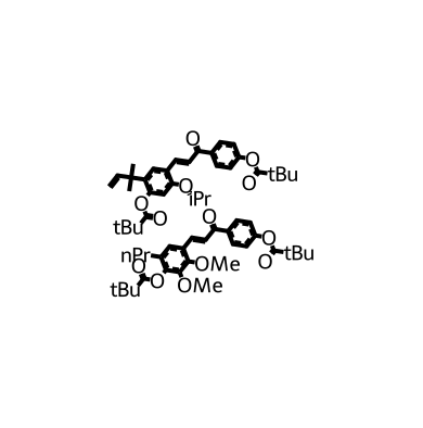 C=CC(C)(C)c1cc(C=CC(=O)c2ccc(OC(=O)C(C)(C)C)cc2)c(OC(C)C)cc1OC(=O)C(C)(C)C.CCCc1cc(C=CC(=O)c2ccc(OC(=O)C(C)(C)C)cc2)c(OC)c(OC)c1OC(=O)C(C)(C)C